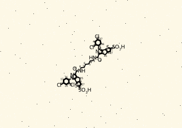 O=C(NCCCCCCNC(=O)c1nn(-c2ccc(Cl)cc2Cl)c2c1Cc1cc(S(=O)(=O)O)sc1-2)c1nn(-c2ccc(Cl)cc2Cl)c2c1Cc1cc(S(=O)(=O)O)sc1-2